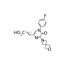 O=C(O)/C=C/c1cn(-c2ccc(F)cc2)c(=O)c(N2CC3(COC3)C2)n1